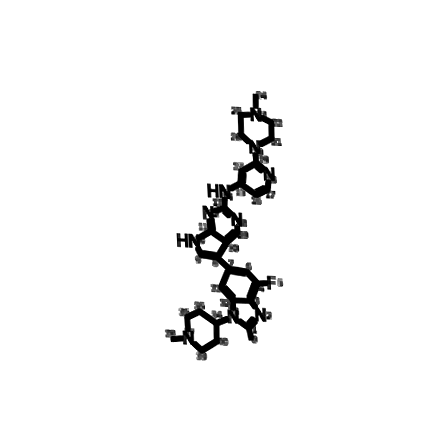 Cc1nc2c(F)cc(-c3c[nH]c4nc(Nc5ccnc(N6CCN(C)CC6)c5)ncc34)cc2n1C1CCN(C)CC1